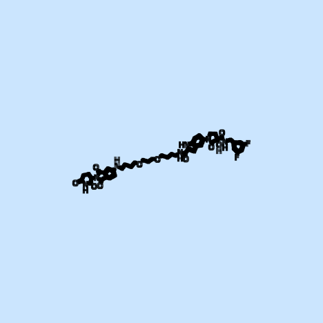 O=C1CCC(N2C(=O)c3ccc(NCCCCOCCCOCCCCNC(=O)c4cc5cc(N6CCC(O)(C(=O)NCc7cc(F)cc(F)c7)C6=O)ccc5[nH]4)cc3C2=O)C(=O)N1